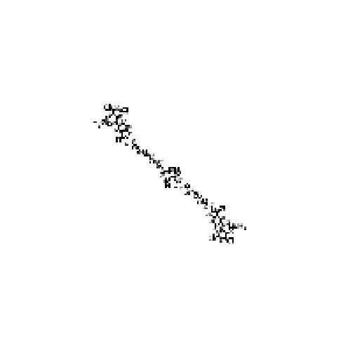 CN1Cc2c(Cl)cc(Cl)cc2C(c2ccc3c(c2)C(=O)N(CCOCCOCCOCCNC(=O)[C@H](O)[C@@H](O)C(=O)NCCOCCOCCOCCN2Cc4ccc(C5CN(C)Cc6c(Cl)cc(Cl)cc65)cc4C2=O)C3)C1